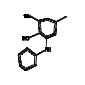 Cc1cc(Pc2ccccc2)c(O)c(C(C)(C)C)c1